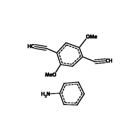 C#Cc1cc(OC)c(C#C)cc1OC.Nc1ccccc1